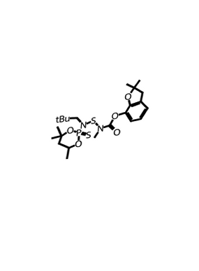 CC1CC(C)(C)OP(=S)(N(CC(C)(C)C)SN(C)C(=O)Oc2cccc3c2OC(C)(C)C3)O1